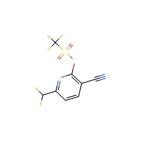 N#Cc1ccc(C(F)F)nc1OS(=O)(=O)C(F)(F)F